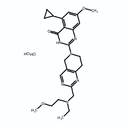 CCN(CCOC)Cc1ncc2c(n1)CCN(c1nc3cc(OC)cc(C4CC4)c3c(=O)[nH]1)C2.Cl.Cl